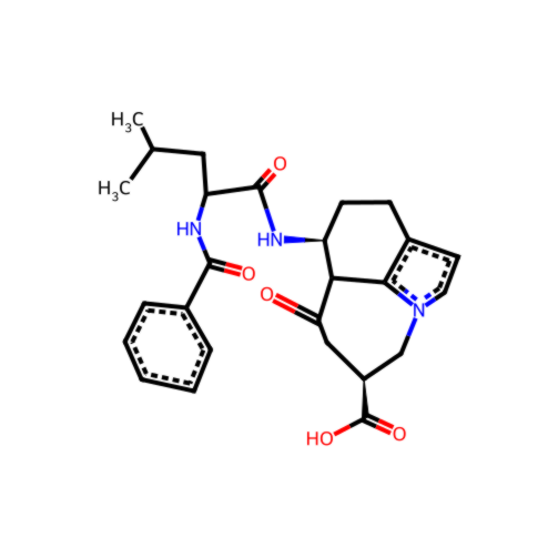 CC(C)CC(NC(=O)c1ccccc1)C(=O)N[C@H]1CCc2ccn3c2C1C(=O)C[C@H](C(=O)O)C3